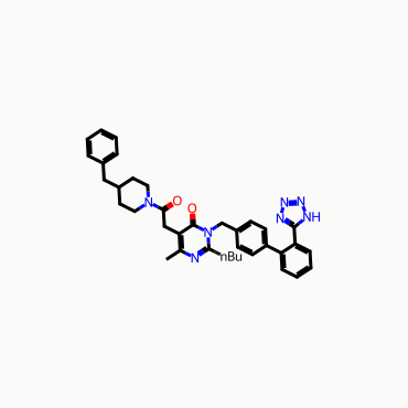 CCCCc1nc(C)c(CC(=O)N2CCC(Cc3ccccc3)CC2)c(=O)n1Cc1ccc(-c2ccccc2-c2nnn[nH]2)cc1